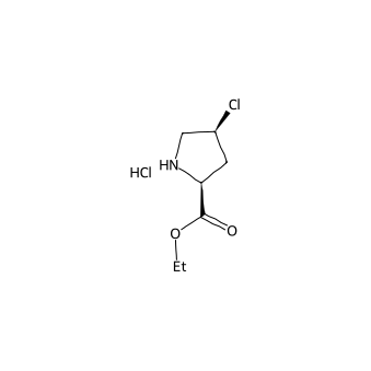 CCOC(=O)[C@@H]1C[C@H](Cl)CN1.Cl